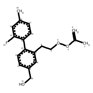 C=C(C)OOCCc1cc(CO)ccc1-c1ccc(C)cc1F